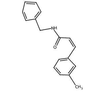 Cc1cccc(/C=C\C(=O)NCc2ccccc2)c1